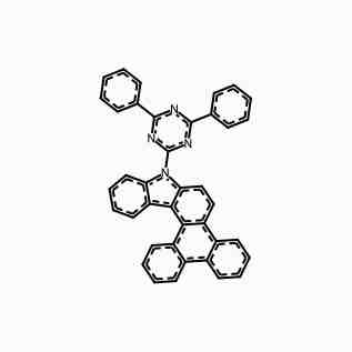 c1ccc(-c2nc(-c3ccccc3)nc(-n3c4ccccc4c4c5c6ccccc6c6ccccc6c5ccc43)n2)cc1